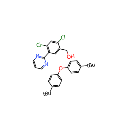 CC(C)(C)c1ccc(Oc2ccc(C(C)(C)C)cc2)cc1.OCc1cc(-c2ncccn2)c(Cl)cc1Cl